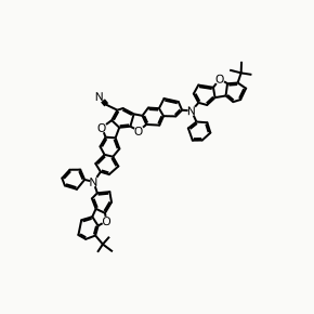 CC(C)(C)c1cccc2c1oc1ccc(N(c3ccccc3)c3ccc4cc5c(cc4c3)oc3c5cc(C#N)c4oc5cc6cc(N(c7ccccc7)c7ccc8oc9c(C(C)(C)C)cccc9c8c7)ccc6cc5c43)cc12